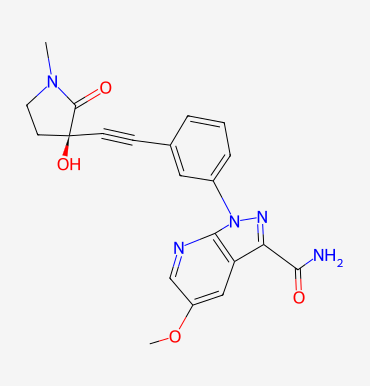 COc1cnc2c(c1)c(C(N)=O)nn2-c1cccc(C#C[C@]2(O)CCN(C)C2=O)c1